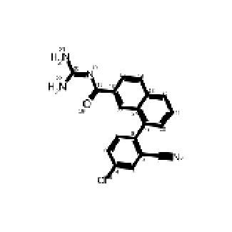 N#Cc1cc(Cl)ccc1-c1cccc2ccc(C(=O)N=C(N)N)cc12